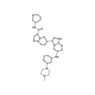 CN1CCN(c2cc(Nc3cnc4[nH]cc(-c5ccn6ncc(C(=O)Nc7cccnc7)c6c5)c4c3)ccn2)CC1